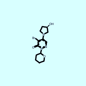 O=c1c(Br)c(N2CC[C@@H](O)C2)cnn1C1CCCCO1